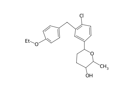 CCOc1ccc(Cc2cc(C3CCC(O)C(C)O3)ccc2Cl)cc1